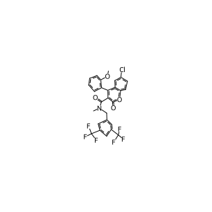 COc1ccccc1-c1c(C(=O)N(C)Cc2cc(C(F)(F)F)cc(C(F)(F)F)c2)c(=O)oc2ccc(Cl)cc12